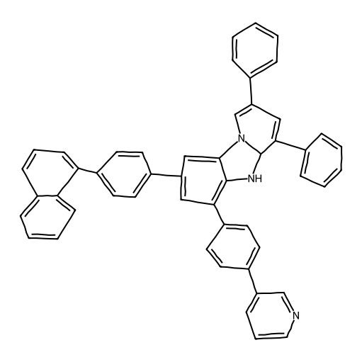 C1=C(c2ccccc2)C=C(c2ccccc2)C2Nc3c(-c4ccc(-c5cccnc5)cc4)cc(-c4ccc(-c5cccc6ccccc56)cc4)cc3N12